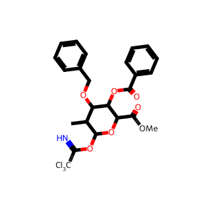 COC(=O)C1OC(OC(=N)C(Cl)(Cl)Cl)C(C)C(OCc2ccccc2)C1OC(=O)c1ccccc1